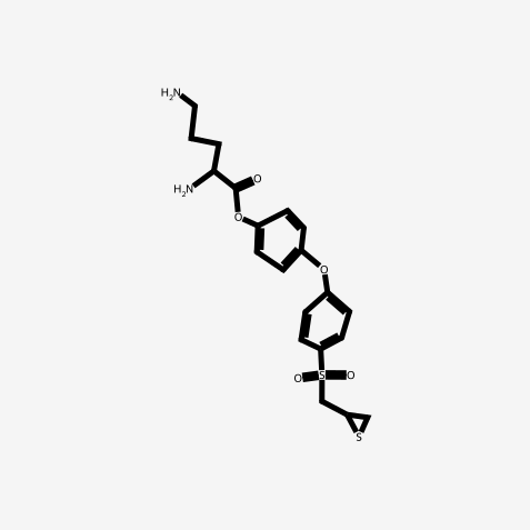 NCCCC(N)C(=O)Oc1ccc(Oc2ccc(S(=O)(=O)CC3CS3)cc2)cc1